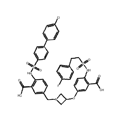 O=C(O)c1cc(OC2CN(Cc3ccc(NS(=O)(=O)c4ccc(-c5ccc(Cl)cc5)cc4)c(C(=O)O)c3)C2)ccc1NS(=O)(=O)CCc1ccc(F)cc1